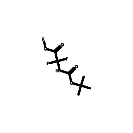 CC(C)(C)OC(=O)NC(F)(F)C(=O)OF